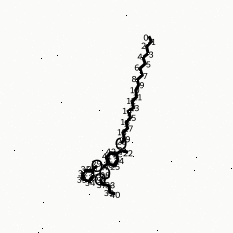 CCCCCCCCCCCCCCCCCCCCOC(C)c1ccc(C(=O)Oc2ccccc2OCCCC)cc1